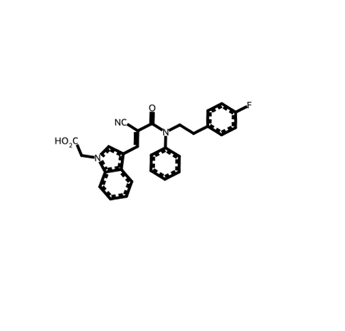 N#C/C(=C\c1cn(CC(=O)O)c2ccccc12)C(=O)N(CCc1ccc(F)cc1)c1ccccc1